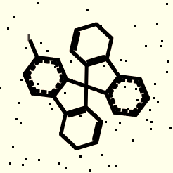 Ic1ccc2c(c1)C1(C3=C(CCC=C3)c3ccccc31)C1=C2CCC=C1